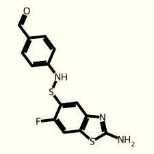 Nc1nc2cc(SNc3ccc(C=O)cc3)c(F)cc2s1